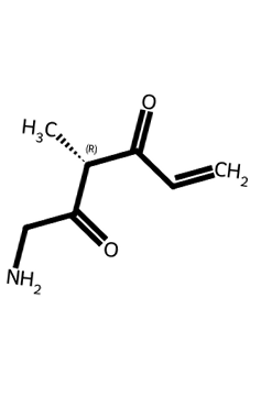 C=CC(=O)[C@@H](C)C(=O)CN